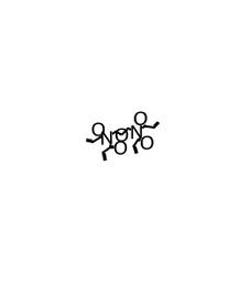 C=CC(=O)N(COCN(C(=O)C=C)C(=O)C=C)C(=O)C=C